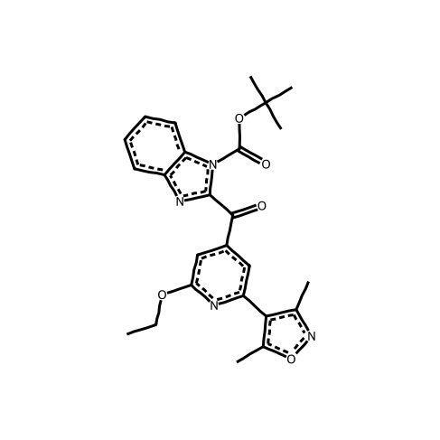 CCOc1cc(C(=O)c2nc3ccccc3n2C(=O)OC(C)(C)C)cc(-c2c(C)noc2C)n1